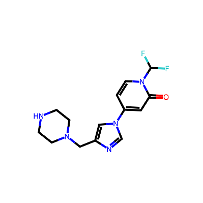 O=c1cc(-n2cnc(CN3CCNCC3)c2)ccn1C(F)F